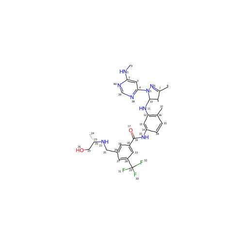 CNc1cc(N2N=C(C)CC2Nc2cc(NC(=O)c3cc(CN[C@@H](C)CO)cc(C(F)(F)F)c3)ccc2C)ncn1